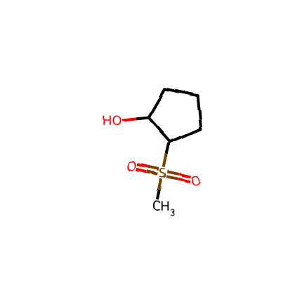 CS(=O)(=O)C1CCCC1O